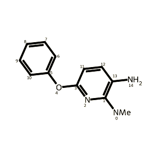 CNc1nc(Oc2ccccc2)ccc1N